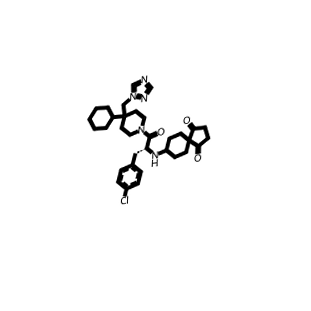 O=C([C@@H](Cc1ccc(Cl)cc1)NC1CCC2(CC1)C(=O)CCC2=O)N1CCC(Cn2cncn2)(C2CCCCC2)CC1